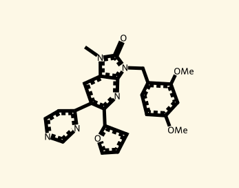 COc1ccc(Cn2c(=O)n(C)c3cc(-c4ccncn4)c(-c4ccco4)nc32)c(OC)c1